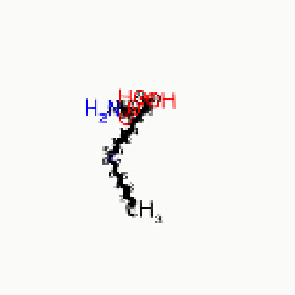 CCCCCCCC/C=C\CCCCCCCC(CC(O)O)OC(=O)CN